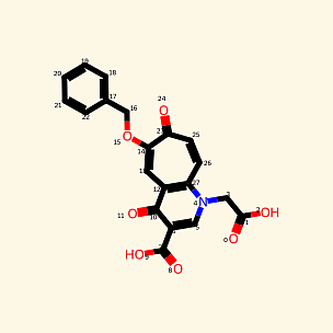 O=C(O)Cn1cc(C(=O)O)c(=O)c2cc(OCc3ccccc3)c(=O)ccc21